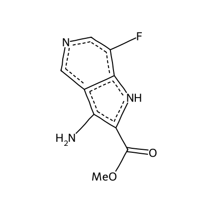 COC(=O)c1[nH]c2c(F)cncc2c1N